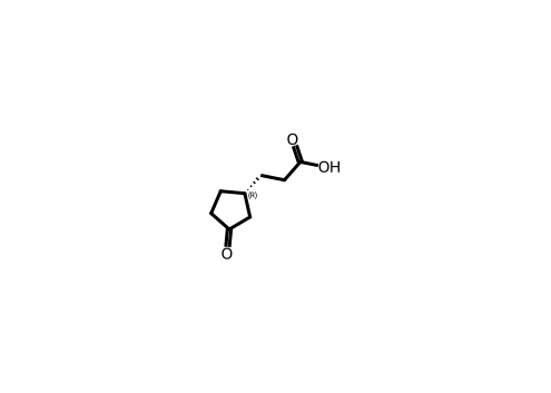 O=C(O)CC[C@H]1CCC(=O)C1